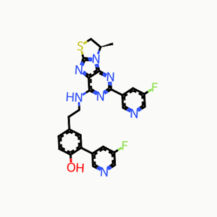 C[C@@H]1CSc2nc3c(NCCc4ccc(O)c(-c5cncc(F)c5)c4)nc(-c4cncc(F)c4)nc3n21